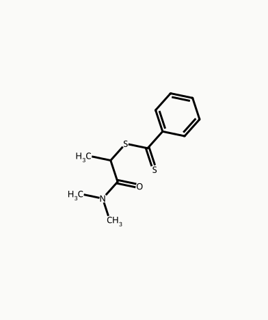 CC(SC(=S)c1ccccc1)C(=O)N(C)C